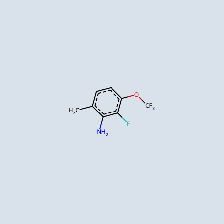 Cc1ccc(OC(F)(F)F)c(F)c1N